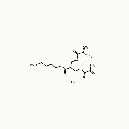 C=C(C)C(=O)OCC(COC(=O)C(=C)C)C(=O)OCCCCS(=O)(=O)O.[LiH]